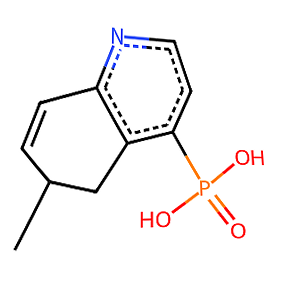 CC1C=Cc2nccc(P(=O)(O)O)c2C1